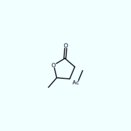 CC(C)=O.CC1CCC(=O)O1